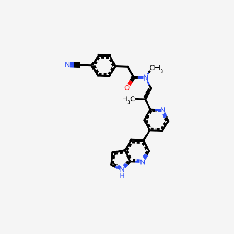 C/C(=C\N(C)C(=O)Cc1ccc(C#N)cc1)c1cc(-c2cnc3[nH]ccc3c2)ccn1